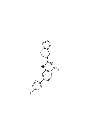 Nc1ccc(-c2ccc(F)cc2)cc1NC(=O)N1CCn2cccc2C1